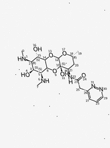 CN[C@@H]1[C@H](O)[C@H](NC)C2O[C@]3(O)C(OC2[C@H]1O)O[C@H](C)C[C@H]3NC(=O)Cc1cccnn1